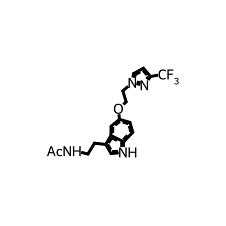 CC(=O)NCCc1c[nH]c2ccc(OCCn3ccc(C(F)(F)F)n3)cc12